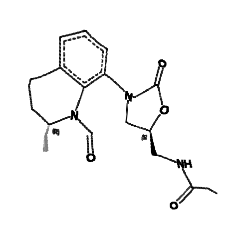 CC(=O)NC[C@H]1CN(c2cccc3c2N(C=O)[C@H](C)CC3)C(=O)O1